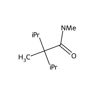 CNC(=O)C(C)(C(C)C)C(C)C